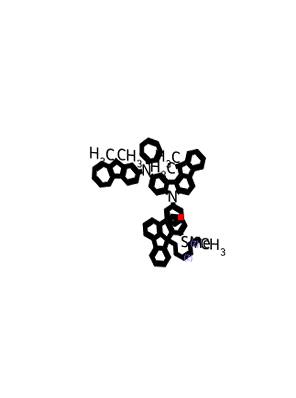 C/C=C\C=C/CCC1(c2ccccc2SC)c2ccccc2-c2cccc(-c3cccc(-n4c5ccc(N(C6=CCC=CC=C6)c6ccc7c(c6)C(C)(C)C6=C7CC=CC=C6)cc5c5c6c(ccc54)-c4ccccc4C6(C)C)c3)c21